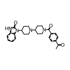 CC(=O)c1ccc(C(=O)N2CCC(N3CCC(n4c(=O)[nH]c5ccccc54)CC3)CC2)cc1